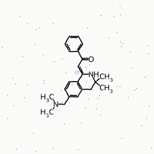 CN(C)Cc1ccc2c(c1)CC(C)(C)N/C2=C\C(=O)c1ccccc1